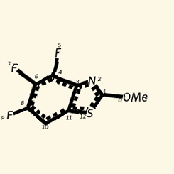 COc1nc2c(F)c(F)c(F)cc2s1